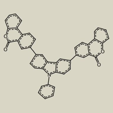 O=c1oc2ccccc2c2ccc(-c3ccc4c(c3)c3cc(-c5ccc6c(c5)c(=O)oc5ccccc56)ccc3n4-c3ccccc3)cc12